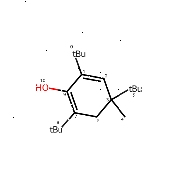 CC(C)(C)C1=CC(C)(C(C)(C)C)CC(C(C)(C)C)=C1O